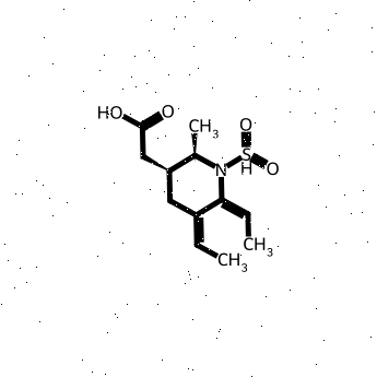 C/C=C1/C[C@@H](CC(=O)O)[C@@H](C)N([SH](=O)=O)/C1=C/C